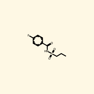 CCCS(=O)(=O)NC(=O)c1ccc(F)cc1